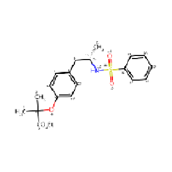 CCOC(=O)C(C)(C)Oc1ccc(C[C@H](C)NS(=O)(=O)c2ccccc2)cc1